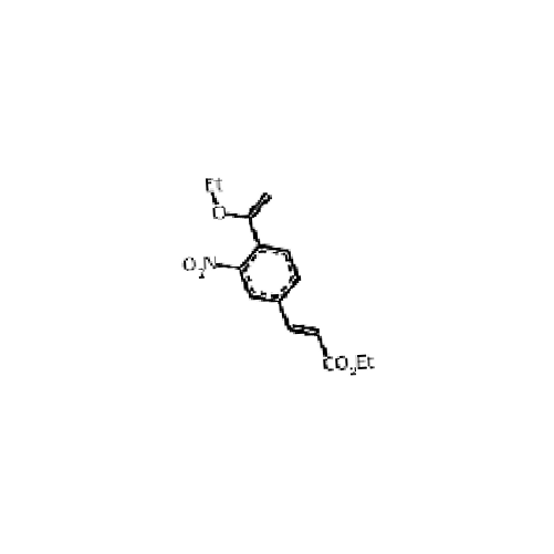 C=C(OCC)c1ccc(/C=C/C(=O)OCC)cc1[N+](=O)[O-]